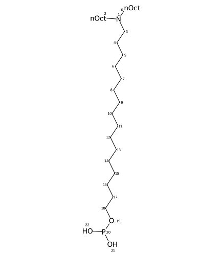 CCCCCCCCN(CCCCCCCC)CCCCCCCCCCCCCCCCOP(O)O